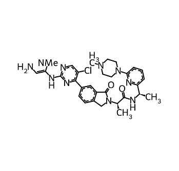 CN/C(=C\N)Nc1ncc(Cl)c(-c2ccc3c(c2)C(=O)N([C@H](C)C(=O)N[C@H](C)c2cccc(N4CCN(C)CC4)n2)C3)n1